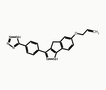 C=CCOc1ccc2c(c1)Cc1c(-c3ccc(-c4nnn[nH]4)cc3)n[nH]c1-2